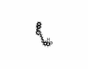 O=C1CCc2ccc(OCCCCCN3CCCN(Cc4ccc5ccccc5n4)CC3)cc2N1